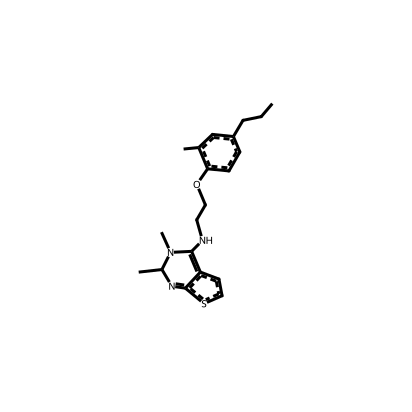 CCCc1ccc(OCCNC2=c3ccsc3=NC(C)N2C)c(C)c1